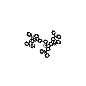 O=P1(c2ccccc2)c2cc(N(c3ccccc3)c3ccccc3)ccc2-c2cc3c(cc21)-c1ccc(N(c2ccccc2)c2ccccc2)cc1P3(=O)c1cccc(-c2ccc3c(c2)-c2cccc4c2P3(=O)c2cc(-c3nccn3-c3ccccc3)ncc2N4c2ccccc2)c1